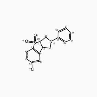 O=S1(=O)c2ccc(Cl)cc2C2CN(c3ccccc3)CN21